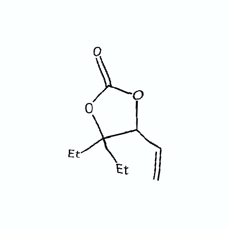 C=CC1OC(=O)OC1(CC)CC